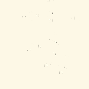 Cc1cccc(C)c1-c1cc2nc(n1)NS(=O)(=O)c1cccc(c1)C(=O)N1CCN(C(=O)C(C)(C)C)C[C@H](C1)O2